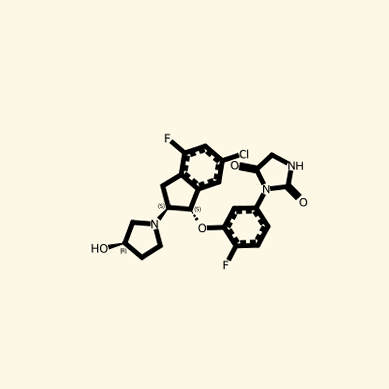 O=C1CNC(=O)N1c1ccc(F)c(O[C@H]2c3cc(Cl)cc(F)c3C[C@@H]2N2CC[C@@H](O)C2)c1